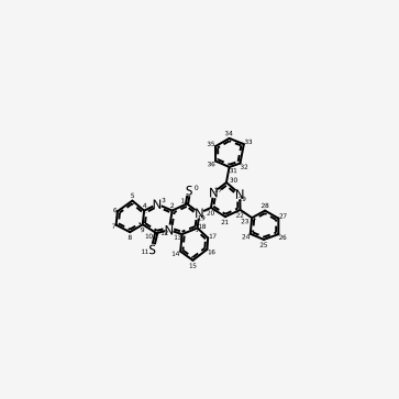 S=c1c2nc3ccccc3c(=S)n2c2ccccc2n1-c1cc(-c2ccccc2)nc(-c2ccccc2)n1